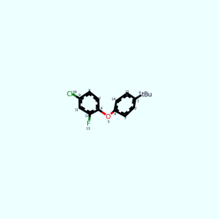 CC(C)(C)c1ccc(Oc2ccc(Cl)cc2F)cc1